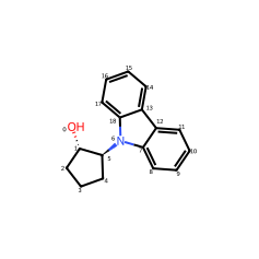 O[C@H]1CCC[C@@H]1n1c2ccccc2c2ccccc21